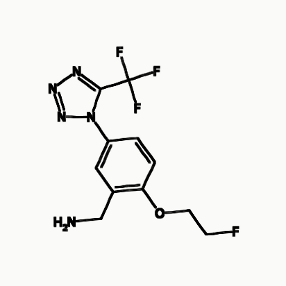 NCc1cc(-n2nnnc2C(F)(F)F)ccc1OCCF